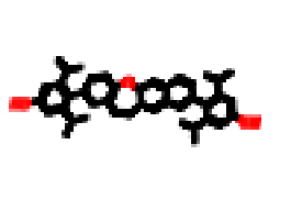 CC(C)c1cc(O)cc(C(C)C)c1-c1ccc2c(c1)=CC1C=CC3=C(C=CC(c4c(C(C)C)cc(O)cc4C(C)C)C3)OC1C=2